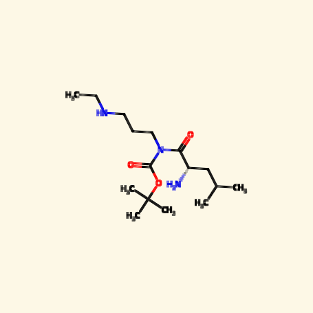 CCNCCCN(C(=O)OC(C)(C)C)C(=O)[C@@H](N)CC(C)C